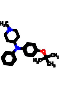 CN1CCC(N(c2ccccc2)c2ccc(OC(C)(C)C)cc2)CC1